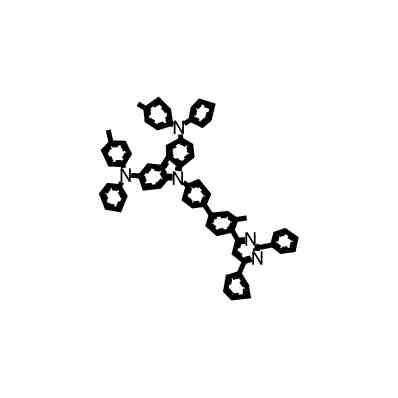 Cc1ccc(N(c2ccccc2)c2ccc3c(c2)c2cc(N(c4ccccc4)c4ccc(C)cc4)ccc2n3-c2ccc(-c3ccc(-c4cc(-c5ccccc5)nc(-c5ccccc5)n4)c(C)c3)cc2)cc1